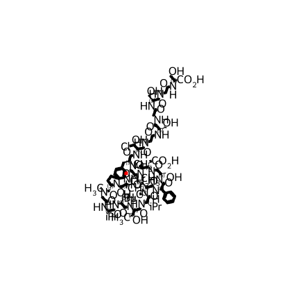 CC[C@H](C)[C@H](NC(=O)[C@@H](NC(=O)CN(C)C(=O)[C@@H]1CCCN1C(=O)[C@H](C)N)C(C)C)C(=O)N[C@H](C(=O)N[C@H](C(=O)N(C)[C@@H](CO)C(=O)N[C@H](C(=O)N[C@@H](CO)C(=O)N[C@@H](CC(=O)O)C(=O)N(C)[C@@H](C)C(=O)N(C)[C@@H](Cc1ccccc1)C(=O)N[C@H](C(=O)NCC(=O)N[C@@H](CO)C(=O)NCC(=O)N[C@@H](CO)C(=O)NCC(=O)N[C@@H](CO)C(=O)O)C(O)Cl)c1ccccc1)C(C)C)[C@@H](C)O